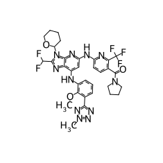 COc1c(Nc2cc(Nc3ccc(C(=O)N4CCCC4)c(C(F)(F)F)n3)nc3c2nc(C(F)F)n3C2CCCCO2)cccc1-c1nnn(C)n1